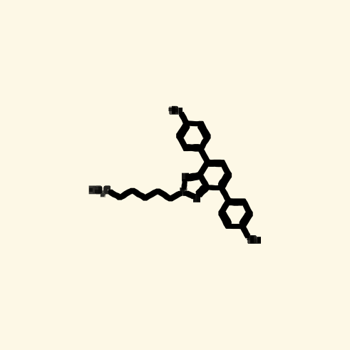 CC(C)(C)c1ccc(-c2ccc(-c3ccc(C(C)(C)C)cc3)c3nn(CCCCCC(=O)O)nc23)cc1